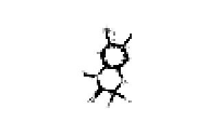 CN1C(=O)C(F)(F)Oc2cc(F)c(N)cc21